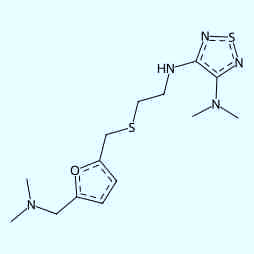 CN(C)Cc1ccc(CSCCNc2nsnc2N(C)C)o1